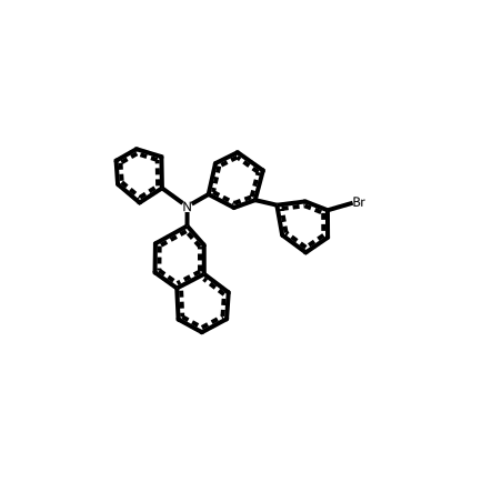 Brc1cccc(-c2cccc(N(c3ccccc3)c3ccc4ccccc4c3)c2)c1